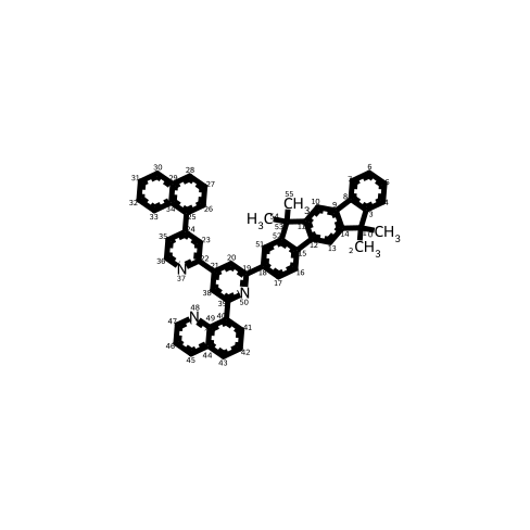 CC1(C)c2ccccc2-c2cc3c(cc21)-c1ccc(-c2cc(-c4cc(-c5cccc6ccccc56)ccn4)cc(-c4cccc5cccnc45)n2)cc1C3(C)C